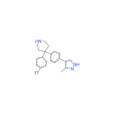 Cc1n[nH]cc1-c1ccc(C2(c3ccc(Cl)cc3)CCNCC2)cc1